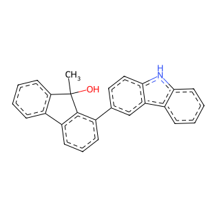 CC1(O)c2ccccc2-c2cccc(-c3ccc4[nH]c5ccccc5c4c3)c21